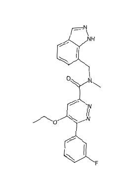 CCOc1cc(C(=O)N(C)Cc2cccc3cn[nH]c23)nnc1-c1cccc(F)c1